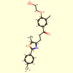 Cc1cc(C(=O)CCc2nc(-c3ccc(C(F)(F)F)cc3)sc2C(C)C)ccc1OCCO